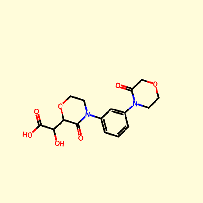 O=C(O)C(O)C1OCCN(c2cccc(N3CCOCC3=O)c2)C1=O